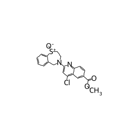 COC(=O)c1ccc2nc(N3CC[S+]([O-])c4ccccc4C3)cc(Cl)c2c1